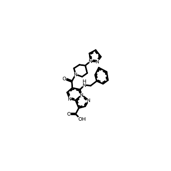 O=C(O)c1cnn2c(NCc3ccccc3)c(C(=O)N3CCC(n4cccn4)CC3)cnc12